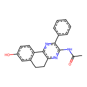 CC(=O)Nc1nc2c(nc1-c1ccccc1)-c1ccc(O)cc1CC2